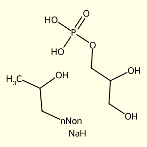 CCCCCCCCCCC(C)O.O=P(O)(O)OCC(O)CO.[NaH]